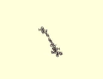 CCOc1cc(N2CCC(N3CCN(CCC4CCN(c5cc(F)c(C6CCC(=O)NC6=O)c(F)c5)CC4)CC3)CC2=O)c(CC)cc1Nc1ncc(Br)c(Nc2ccc3nc(C)ccc3c2P(C)(C)=O)n1